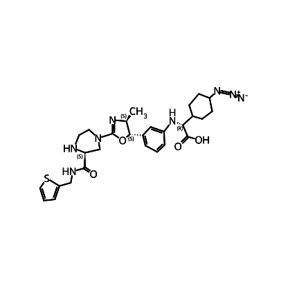 C[C@@H]1N=C(N2CCN[C@H](C(=O)NCc3cccs3)C2)O[C@H]1c1cccc(N[C@@H](C(=O)O)C2CCC(N=[N+]=[N-])CC2)c1